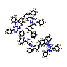 c1ccc(-c2nc(-c3ccccc3)nc(-n3c4ccccc4c4cc(-c5ccc6c7ccccc7n(-c7nc(-c8ccccc8)nc(-c8cccc(-c9cccc(-c%10nc(-c%11ccccc%11)nc(-n%11c%12ccccc%12c%12ccc(-c%13ccc%14c%15ccccc%15n(-c%15nc(-c%16ccccc%16)nc(-c%16ccccc%16)n%15)c%14c%13)cc%12%11)n%10)c9)c8)n7)c6c5)ccc43)n2)cc1